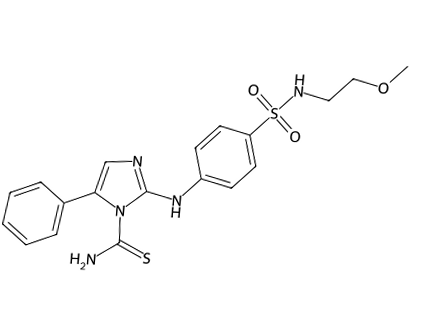 COCCNS(=O)(=O)c1ccc(Nc2ncc(-c3ccccc3)n2C(N)=S)cc1